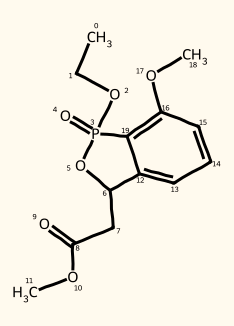 CCOP1(=O)OC(CC(=O)OC)c2cccc(OC)c21